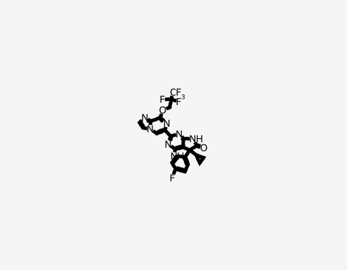 Nc1nc(-c2cn3ccnc3c(OCC(F)(F)C(F)(F)F)n2)nc2c1C(c1ccc(F)cc1)(C1CC1)C(=O)N2